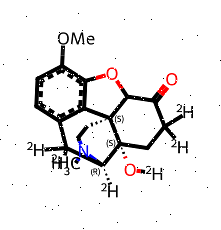 [2H]O[C@@]12CC([2H])([2H])C(=O)C3Oc4c(OC)ccc5c4[C@@]31CCN(C)[C@]2([2H])C5([2H])[2H]